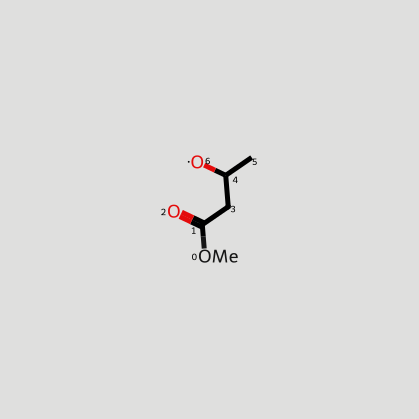 COC(=O)CC(C)[O]